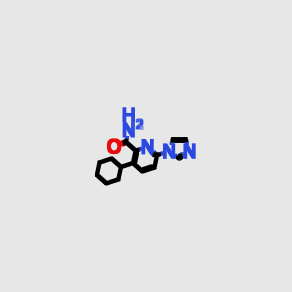 NC(=O)c1nc(-n2ccnc2)ccc1C1CCCCC1